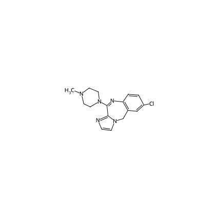 CN1CCN(C2=Nc3ccc(Cl)cc3Cn3ccnc32)CC1